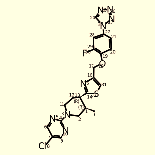 C[C@H]1CN(c2ncc(Cl)cn2)CC[C@H]1c1nc(COc2ccc(-n3cnnn3)cc2F)cs1